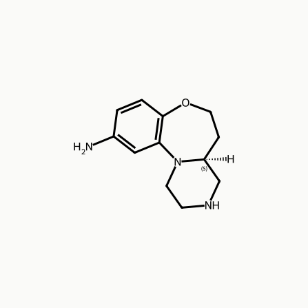 Nc1ccc2c(c1)N1CCNC[C@@H]1CCO2